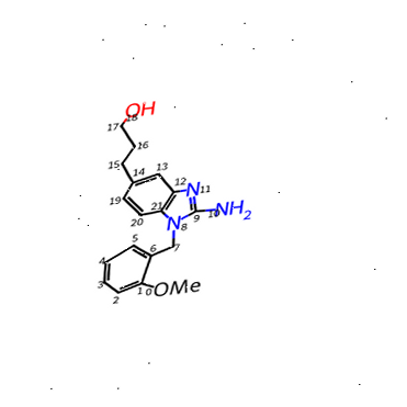 COc1ccccc1Cn1c(N)nc2cc(CCCO)ccc21